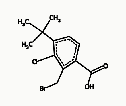 CC(C)(C)c1ccc(C(=O)O)c(CBr)c1Cl